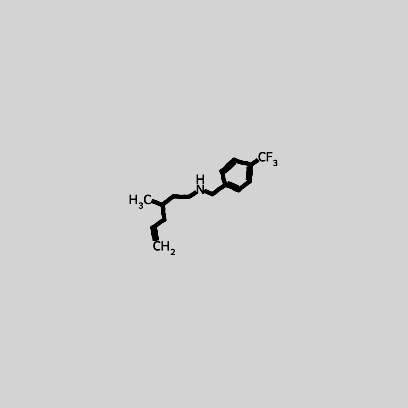 C=CCC(C)CCNCc1ccc(C(F)(F)F)cc1